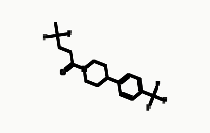 CC(F)(F)CCC(=O)N1CCC(c2ccc(C(F)(F)F)cc2)CC1